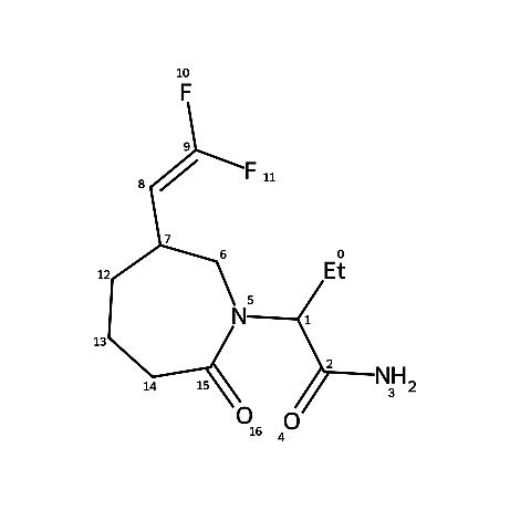 CCC(C(N)=O)N1CC(C=C(F)F)CCCC1=O